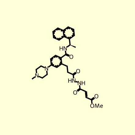 COC(=O)/C=C/C(=O)NNC(=O)CCc1cc(N2CCN(C)CC2)ccc1C(=O)N[C@H](C)c1cccc2ccccc12